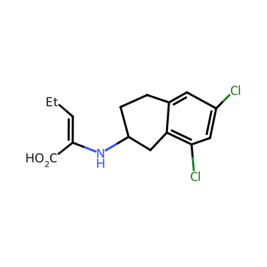 CCC=C(NC1CCc2cc(Cl)cc(Cl)c2C1)C(=O)O